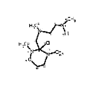 CN(Cl)CCN(C)CC1(Cl)N(C)CCON1C